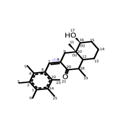 Cc1c(C)c(C)c(/C=C2/C[C@@]3(C)C(CCC[C@@H]3O)C(C)C2=O)c(C)c1C